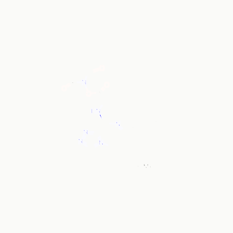 COc1ccc2c(c1)C(c1ccc(Cl)cc1)=N[C@H](NCC(=O)ON1C(=O)CCC1=O)c1nnc(C)n1-2